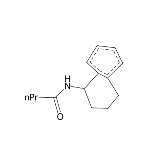 CCCC(=O)NC1CCCc2ccccc21